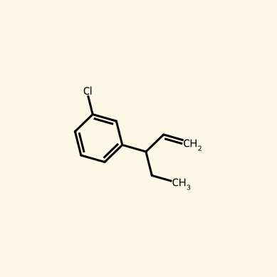 C=CC(CC)c1cccc(Cl)c1